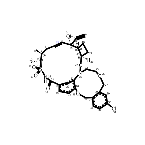 C#C[C@]1(O)/C=C/C[C@H](C)[C@@H](C)S(=O)(=O)NC(=O)c2ccc3c(c2)N(CCCCc2cc(Cl)ccc2CO3)C[C@@H]2CC[C@H]21